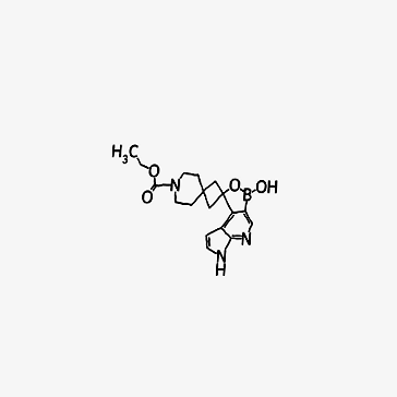 CCOC(=O)N1CCC2(CC1)CC1(C2)OB(O)c2cnc3[nH]ccc3c21